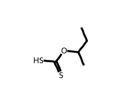 CCC(C)OC(=S)S